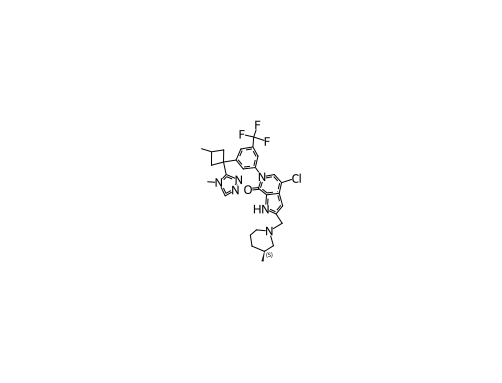 CC1CC(c2cc(-n3cc(Cl)c4cc(CN5CCC[C@H](C)C5)[nH]c4c3=O)cc(C(F)(F)F)c2)(c2nncn2C)C1